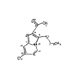 CCSc1c(C(=O)O)nc2cc(Cl)ccn12